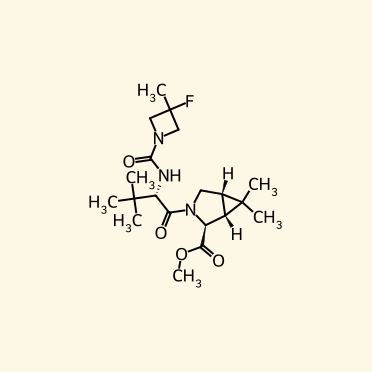 COC(=O)[C@@H]1[C@@H]2[C@H](CN1C(=O)[C@@H](NC(=O)N1CC(C)(F)C1)C(C)(C)C)C2(C)C